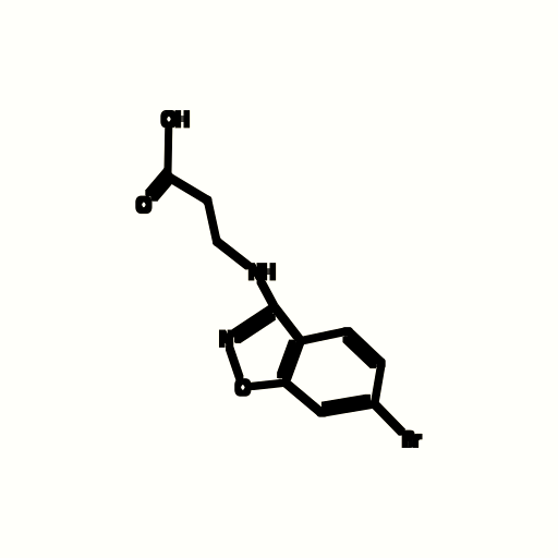 O=C(O)CCNc1noc2cc(Br)ccc12